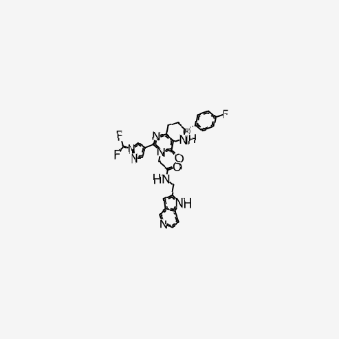 O=C(Cn1c(-c2cnn(C(F)F)c2)nc2c(c1=O)N[C@@H](c1ccc(F)cc1)CC2)NCc1cc2cnccc2[nH]1